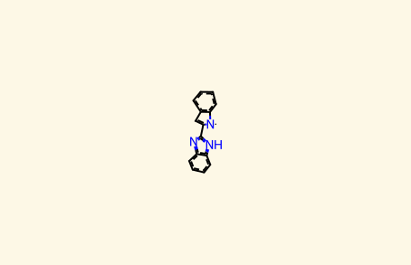 C1=C(c2nc3ccccc3[nH]2)[N]c2ccccc21